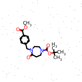 COC(=O)c1ccc(CN2CCN(C(=O)OC(C)(C)C)CCC2=O)cc1